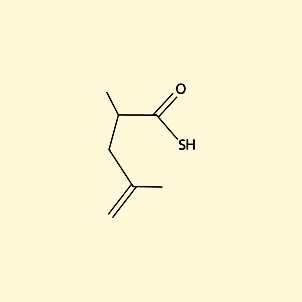 C=C(C)CC(C)C(=O)S